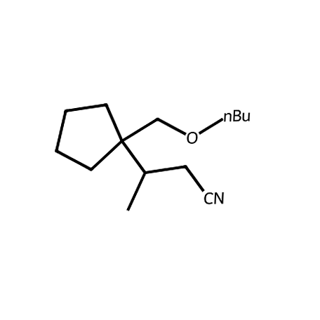 CCCCOCC1(C(C)CC#N)CCCC1